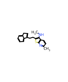 CNc1c(CCC2=CCc3ccccc32)sc2nc(C)ccc12